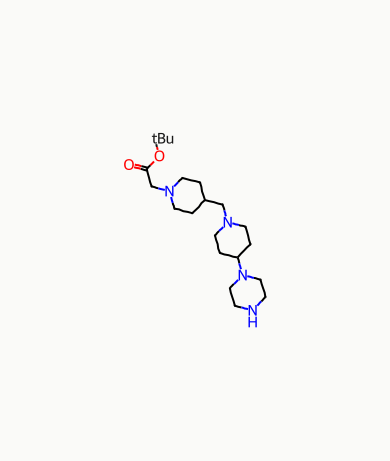 CC(C)(C)OC(=O)CN1CCC(CN2CCC(N3CCNCC3)CC2)CC1